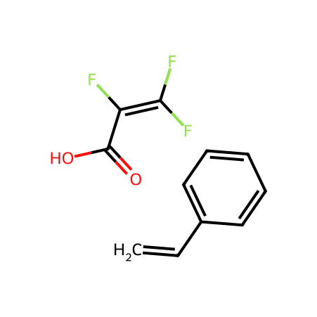 C=Cc1ccccc1.O=C(O)C(F)=C(F)F